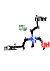 CCCCCCCCCCCC[N+](C)(CO)CCCCCCCCCCCC.[Cl-]